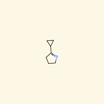 C1CN=C(C2CC2)C1